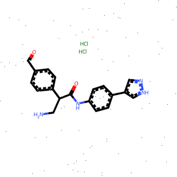 Cl.Cl.NCC(C(=O)Nc1ccc(-c2cn[nH]c2)cc1)c1ccc(C=O)cc1